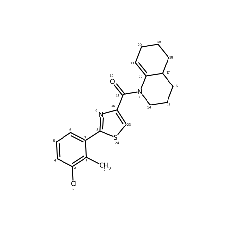 Cc1c(Cl)cccc1-c1nc(C(=O)N2CCCC3CCCC=C32)cs1